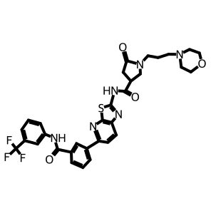 O=C(Nc1cccc(C(F)(F)F)c1)c1cccc(-c2ccc3nc(NC(=O)C4CC(=O)N(CCCN5CCOCC5)C4)sc3n2)c1